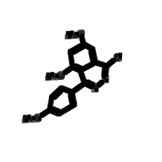 COc1ccc(-c2nnc(Cl)c3cc(OC)cc(OC)c23)cc1